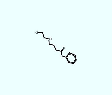 O=C(CCCNCCCl)Oc1ccccc1